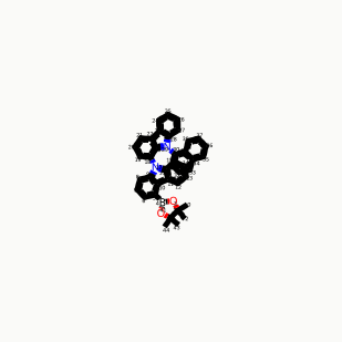 CC1(C)OB(c2cccc3c2c2ccccc2n3-c2cccc3c4ccccc4n(-c4cccc5ccccc45)c23)OC1(C)C